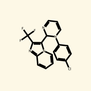 FC(F)(F)c1nc2ccccn2c1C1N=CC=CN1c1ccc(Cl)cc1